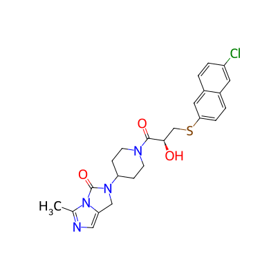 Cc1ncc2n1C(=O)N(C1CCN(C(=O)[C@H](O)CSc3ccc4cc(Cl)ccc4c3)CC1)C2